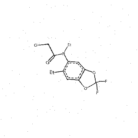 CCc1cc2c(cc1N(CC)C(=O)CCl)OC(F)(F)O2